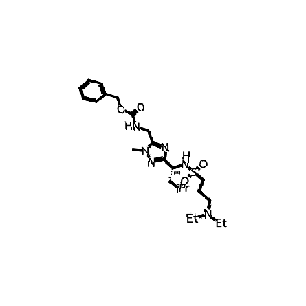 CCN(CC)CCCS(=O)(=O)N[C@H](CC(C)C)c1nc(CNC(=O)OCc2ccccc2)n(C)n1